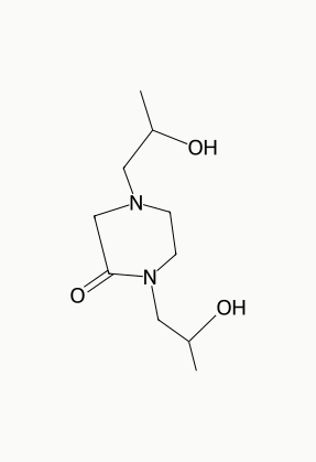 CC(O)CN1CCN(CC(C)O)C(=O)C1